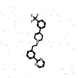 FC(F)(F)c1cccc(C2=CCN(CCc3cccc(-c4ncccn4)c3)CC2)c1